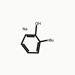 CCCCc1ccccc1O.[Na]